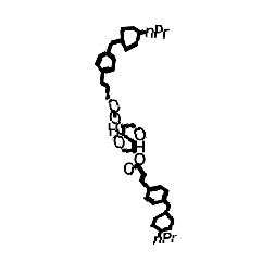 CCCC1CCC(Cc2ccc(/C=C/COO[C@H]3CO[C@@H]4C(OC(=O)/C=C/c5ccc(CC6CCC(CCC)CC6)cc5)CO[C@H]34)cc2)CC1